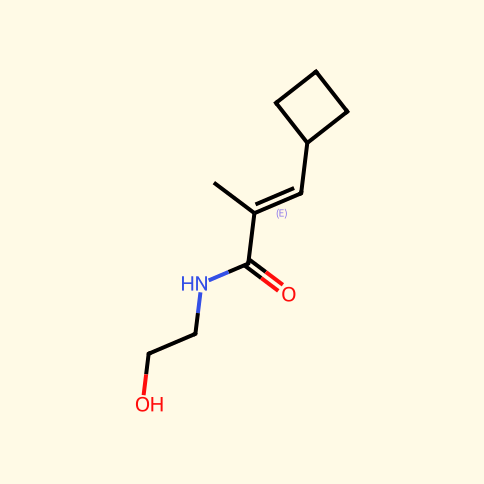 C/C(=C\C1CCC1)C(=O)NCCO